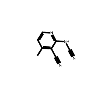 Cc1ccnc(NC#N)c1C#N